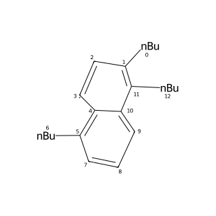 CCCCc1c[c]c2c(CCCC)cccc2c1CCCC